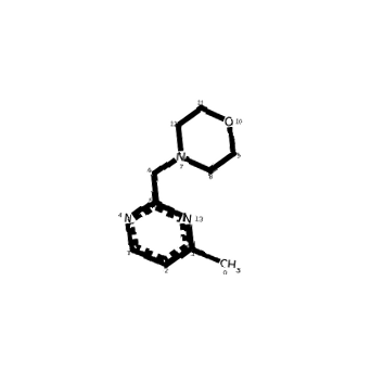 Cc1ccnc(CN2CCOCC2)n1